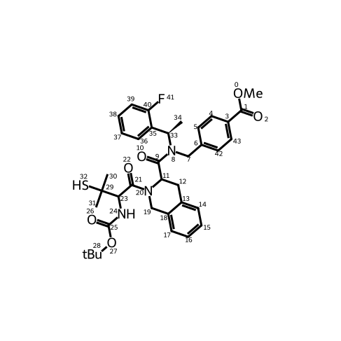 COC(=O)c1ccc(CN(C(=O)C2Cc3ccccc3CN2C(=O)C(NC(=O)OC(C)(C)C)C(C)(C)S)[C@H](C)c2ccccc2F)cc1